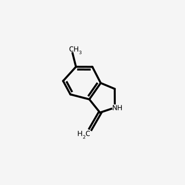 C=C1NCc2cc(C)ccc21